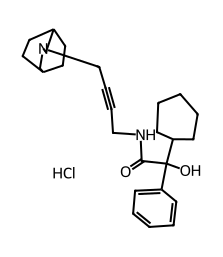 Cl.O=C(NCC#CCN1CC2CCC(CC2)C1)C(O)(c1ccccc1)C1CCCCC1